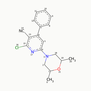 CC1CN(c2cc(-c3ccccc3)c(C#N)c(Cl)n2)CC(C)O1